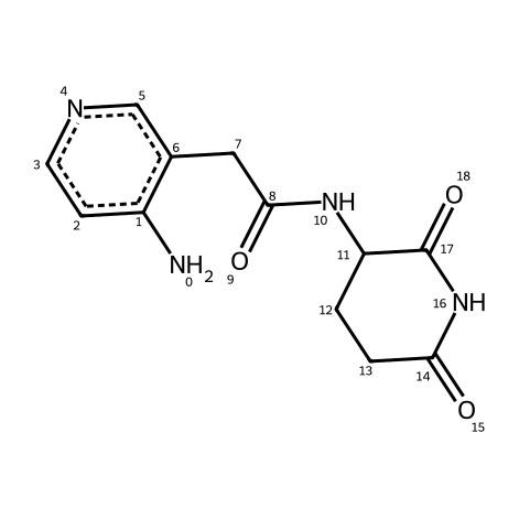 Nc1ccncc1CC(=O)NC1CCC(=O)NC1=O